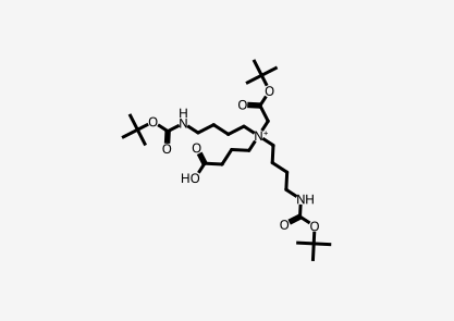 CC(C)(C)OC(=O)C[N+](CCCCNC(=O)OC(C)(C)C)(CCCCNC(=O)OC(C)(C)C)CCCC(=O)O